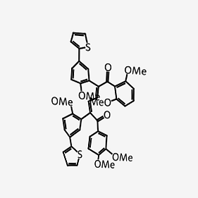 COc1ccc(C(=O)C(=CC=C(C(=O)c2c(OC)cccc2OC)c2cc(-c3cccs3)ccc2OC)c2cc(-c3cccs3)ccc2OC)cc1OC